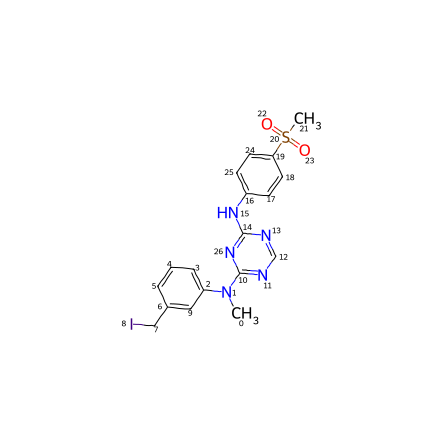 CN(c1cccc(CI)c1)c1ncnc(Nc2ccc(S(C)(=O)=O)cc2)n1